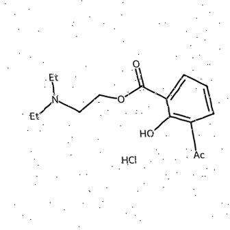 CCN(CC)CCOC(=O)c1cccc(C(C)=O)c1O.Cl